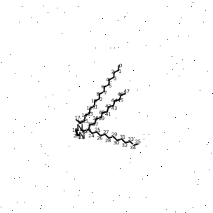 CCCCCCCCCCCCCCCCC(C)n1ccnc1C(CCCCCCCCCCCC)CCCCCCCCCCCC